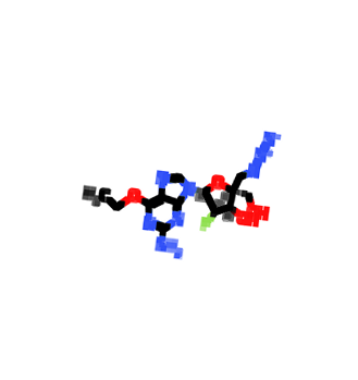 CCOc1nc(N)nc2c1ncn2[C@@H]1O[C@@](CO)(CN=[N+]=[N-])[C@@H](O)[C@H]1F